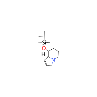 CC(C)(C)[Si](C)(C)OC1CCCN2CC=C[C@@H]12